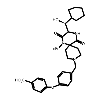 CCCN1C(=O)C([C@@H](O)C2CCCCC2)NC(=O)C12CCN(Cc1ccc(Oc3ccc(C(=O)O)cc3)cc1)CC2